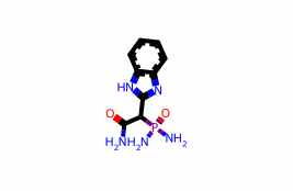 NC(=O)C(c1nc2ccccc2[nH]1)P(N)(N)=O